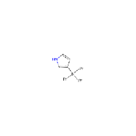 CC(C)[Si](c1cc[nH]c1)(C(C)C)C(C)C